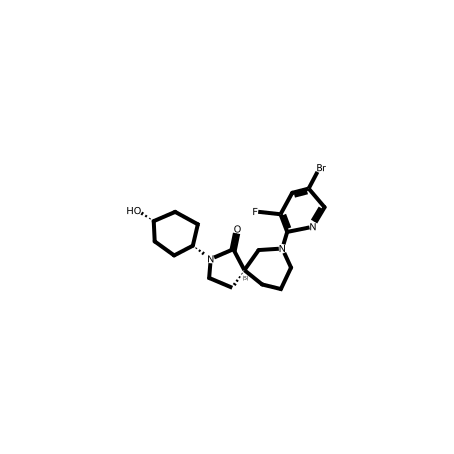 O=C1N([C@H]2CC[C@@H](O)CC2)CC[C@]12CCCN(c1ncc(Br)cc1F)C2